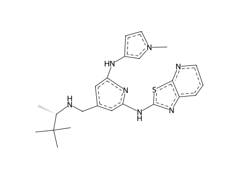 C[C@H](NCc1cc(Nc2ccn(C)c2)nc(Nc2nc3cccnc3s2)c1)C(C)(C)C